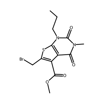 CCCn1c(=O)n(C)c(=O)c2c(C(=O)OC)c(CBr)sc21